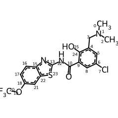 CN(C)Cc1cc(Cl)cc(C(=O)Nc2nc3ccc(OC(F)(F)F)cc3s2)c1O